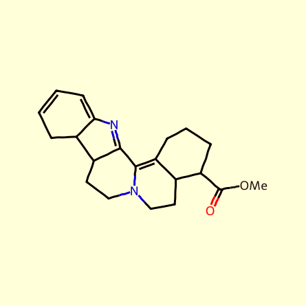 COC(=O)C1CCCC2=C3C4=NC5=CC=CCC5C4CCN3CCC21